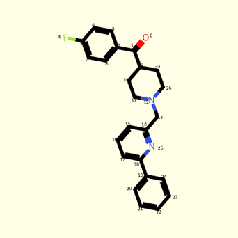 O=C(c1ccc(F)cc1)C1CCN(Cc2cccc(-c3ccccc3)n2)CC1